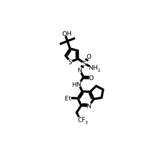 CCc1c(CC(F)(F)F)nc2c(c1NC(=O)N=S(N)(=O)c1cc(C(C)(C)O)cs1)CCC2